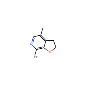 Cc1cnc(C(C)C)c2c1CCO2